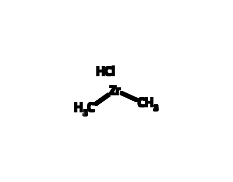 Cl.[CH3][Zr][CH3]